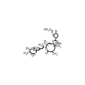 CC[C@H](O)[C@@H](C)[C@H]1O[C@@H]1C[C@@](C)(O)/C=C/C=C(\C)[C@H]1OC(=O)C[C@H](C)CC[C@@](C)(OC)[C@@H](OC(=O)N2CCN[C@@H](CCC(=O)O)C2)/C=C/[C@@H]1C